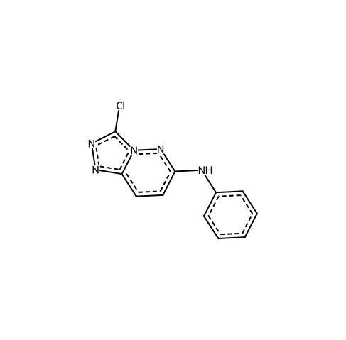 Clc1nnc2ccc(Nc3ccccc3)nn12